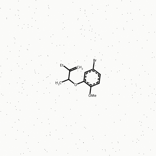 C=C(CC)C(C)Oc1cc(Br)ccc1OC